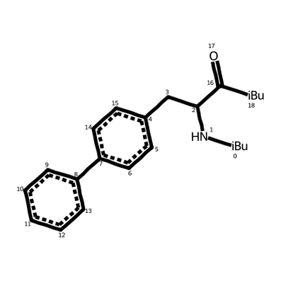 CCC(C)NC(Cc1ccc(-c2ccccc2)cc1)C(=O)C(C)CC